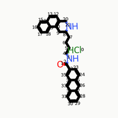 Cl.O=C(NCCCCC1Cc2c(ccc3ccccc23)CN1)c1ccc2cc3ccccc3cc2c1